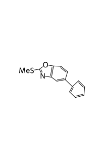 CSc1nc2cc(-c3ccccc3)ccc2o1